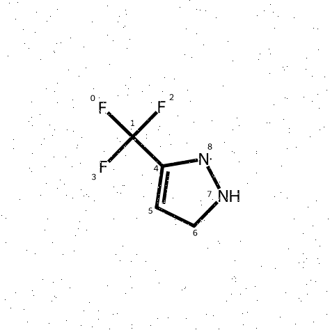 FC(F)(F)C1=CCN[N]1